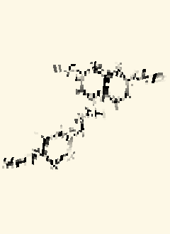 CCOc1ccc2c(NN=Cc3ccc(OC)cc3)cc(C)nc2c1